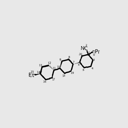 CCCC1(C#N)CCCC([C@H]2CC[C@H]([C@H]3CC[C@H](CC)CC3)CC2)C1